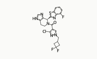 O=C(c1cn(CC2CC(F)(F)C2)nc1Cl)N1CCc2[nH]cnc2[C@H]1c1nc2c(F)cccc2s1